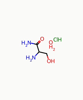 Cl.NC(=O)C(N)CO.O